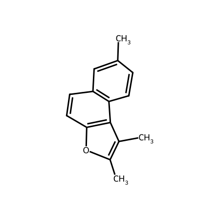 Cc1ccc2c(ccc3oc(C)c(C)c32)c1